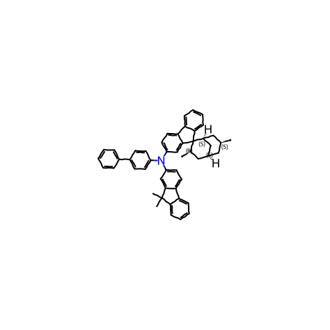 C[C@H]1C[C@@H]2C[C@H](C1)C1(c3ccccc3-c3ccc(N(c4ccc(-c5ccccc5)cc4)c4ccc5c(c4)C(C)(C)c4ccccc4-5)cc31)[C@H](C)C2